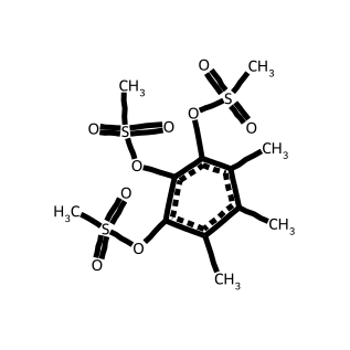 Cc1c(C)c(OS(C)(=O)=O)c(OS(C)(=O)=O)c(OS(C)(=O)=O)c1C